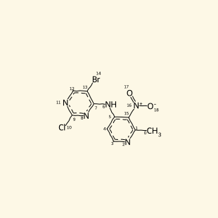 Cc1nccc(Nc2nc(Cl)ncc2Br)c1[N+](=O)[O-]